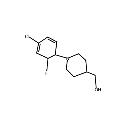 OCC1CCN(C2C=CC(Cl)=CC2F)CC1